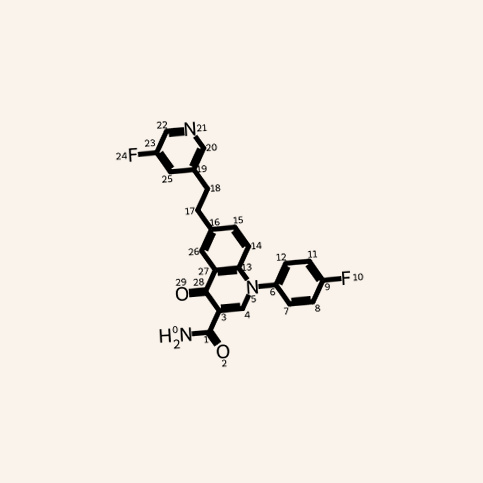 NC(=O)c1cn(-c2ccc(F)cc2)c2ccc(CCc3cncc(F)c3)cc2c1=O